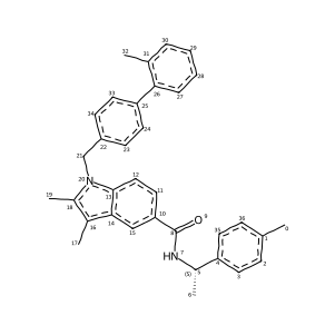 Cc1ccc([C@H](C)NC(=O)c2ccc3c(c2)c(C)c(C)n3Cc2ccc(-c3ccccc3C)cc2)cc1